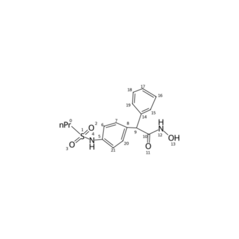 CCCS(=O)(=O)Nc1ccc(C(C(=O)NO)c2ccccc2)cc1